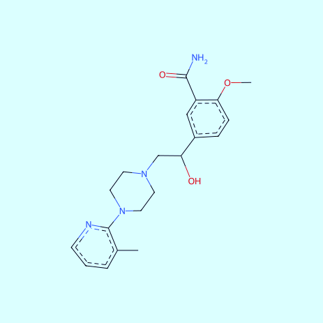 COc1ccc(C(O)CN2CCN(c3ncccc3C)CC2)cc1C(N)=O